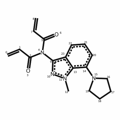 C=CC(=O)N(C(=O)C=C)c1nn(C)c2c(N3CCCC3)cccc12